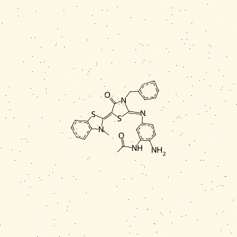 CC(=O)Nc1cc(N=C2SC(=C3Sc4ccccc4N3C)C(=O)N2Cc2ccccc2)ccc1N